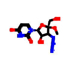 CO[C@]1(CO)O[C@@H](n2ccc(=O)[nH]c2=O)[C@H](O)C1N=[N+]=[N-]